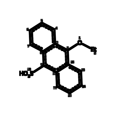 CCOc1c2ccccc2c(S(=O)(=O)O)c2ccccc12